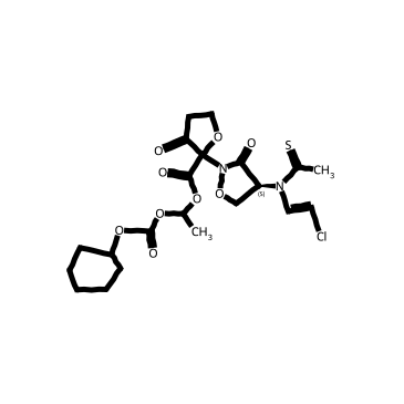 CC(=S)N(C=CCl)[C@H]1CON(C2(C(=O)OC(C)OC(=O)OC3CCCCC3)OCCC2=O)C1=O